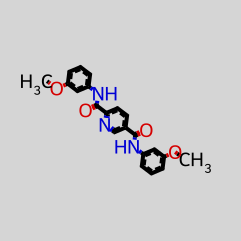 COc1cccc(NC(=O)c2ccc(C(=O)Nc3cccc(OC)c3)nc2)c1